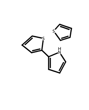 c1c[nH]c(-c2cccs2)c1.c1ccsc1